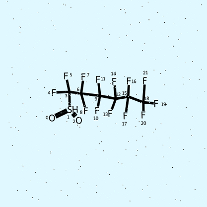 O=[SH](=O)C(F)(F)C(F)(F)C(F)(F)C(F)(F)C(F)(F)C(F)(F)F